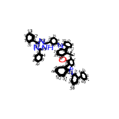 CC1(C)c2ccc3c(c2Oc2ccc4c(c21)c1ccccc1n4-c1cccc(C2N=C(c4ccccc4)N=C(c4ccccc4)N2)c1)c1ccccc1n3-c1cccc(-c2ccccc2)c1